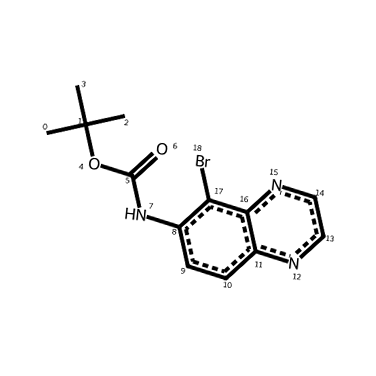 CC(C)(C)OC(=O)Nc1ccc2nccnc2c1Br